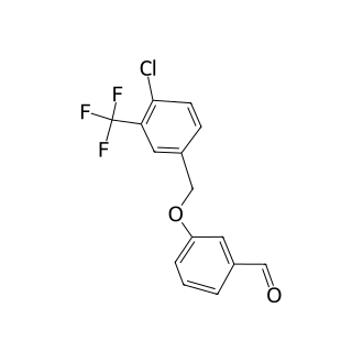 O=Cc1cccc(OCc2ccc(Cl)c(C(F)(F)F)c2)c1